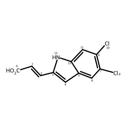 O=C(O)C=Cc1cc2cc(Cl)c(Cl)cc2[nH]1